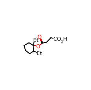 CCC1CCCCC1(CC)OC(=O)CCC(=O)O